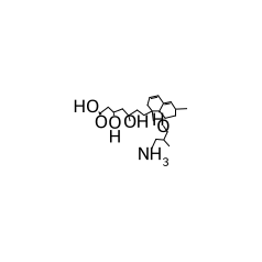 CCC(C)COC1CC(C)C=C2C=CCC(C)(CCC(O)C[C@@H](O)CC(=O)O)[C@H]21.N